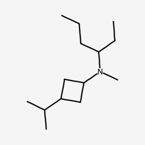 CCCC(CC)N(C)C1CC(C(C)C)C1